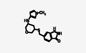 Cn1ccc(NC2COCC(SCc3ccc4c(=O)[nH][nH]c4c3)C2)c1